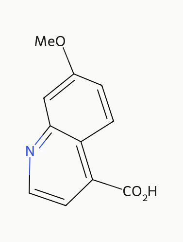 COc1ccc2c(C(=O)O)ccnc2c1